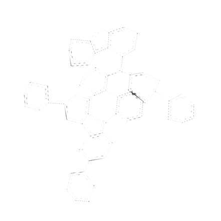 c1ccc(-c2ccc(N(c3ccccc3-c3ccccc3-n3c4ccc(-c5ccccc5)cc4c4cc(-c5ccccc5)ccc43)c3cccc4oc5ccccc5c34)cc2)cc1